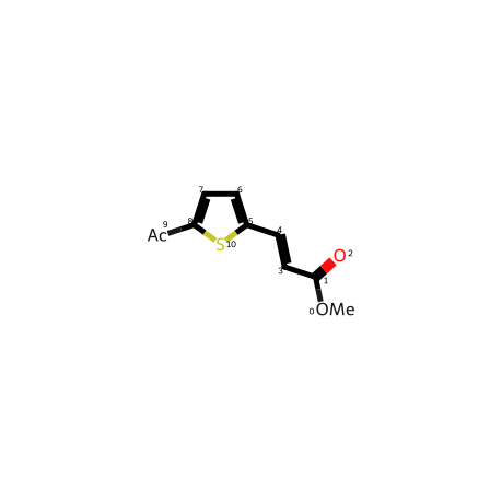 COC(=O)C=Cc1ccc(C(C)=O)s1